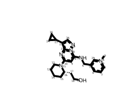 C[n+]1cccc(CNc2cc(N3CCCC[C@H]3CCO)nc3c(C4CC4)cnn23)c1